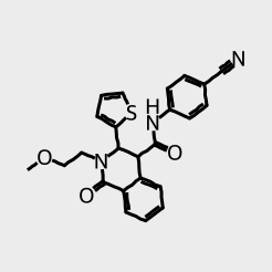 COCCN1C(=O)c2ccccc2C(C(=O)Nc2ccc(C#N)cc2)C1c1cccs1